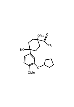 COc1ccc(C2(C#N)CCC(OC)(C(N)=O)CC2)cc1OC1CCCC1